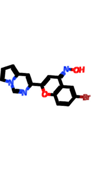 O/N=c1/cc(-c2cc3cccn3cn2)oc2ccc(Br)cc12